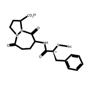 CC(=O)S[C@@H](Cc1ccccc1)C(=O)NC1CCC(=O)N2CCC(C(=O)O)N2C1=O